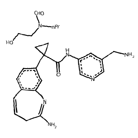 CCCN(C=O)CCO.NCc1cncc(NC(=O)C2(c3ccc4c(c3)N=C(N)CC=C4)CC2)c1